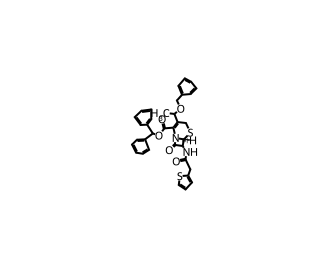 CC(OCc1ccccc1)C1=C(C(=O)OC(c2ccccc2)c2ccccc2)N2C(=O)C(NC(=O)Cc3cccs3)[C@H]2SC1